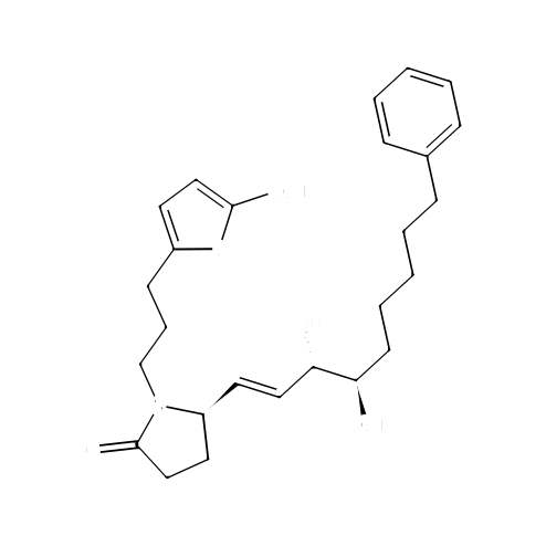 C[C@H](CCCCCc1ccccc1)[C@@H](O)C=C[C@H]1CCC(=O)N1CCCc1ccc(C(=O)O)s1